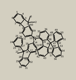 CC1(C)c2ccccc2-c2ccc(N(c3ccc4c(c3)C(C)(c3ccccc3)c3ccccc3-4)c3cccc4c3-c3ccccc3C43c4ccccc4-c4ccccc43)cc21